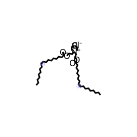 CCCCCCCC/C=C\CCCCCCCC(=O)OCC[N+]1(CCOC(=O)CCCCCCC/C=C\CCCCCCCC)CCOCC1.[Cl-]